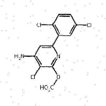 Nc1cc(-c2cc(Cl)ccc2Cl)nc(OC(=O)O)c1Cl